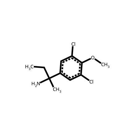 CCC(C)(N)c1cc(Cl)c(OC)c(Cl)c1